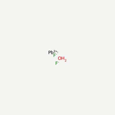 O.[F-].[F-].[Pb+2]